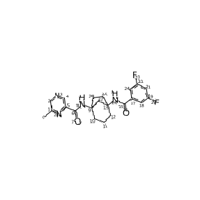 Cc1cncc(C(=O)NC23CCCC(NC(=O)c4cc(F)cc(F)c4)(CC2)C3)n1